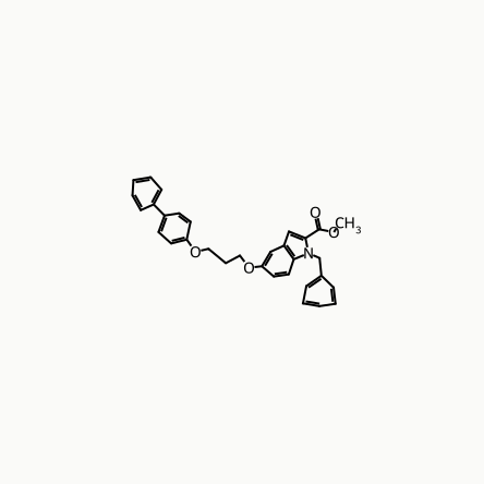 COC(=O)c1cc2cc(OCCCOc3ccc(-c4ccccc4)cc3)ccc2n1Cc1ccccc1